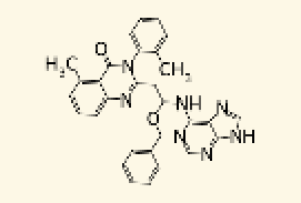 Cc1ccccc1-n1c(CC(Nc2ncnc3[nH]cnc23)OCc2ccccc2)nc2cccc(C)c2c1=O